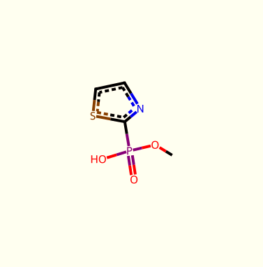 COP(=O)(O)c1nccs1